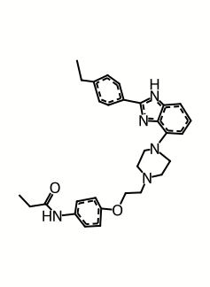 CCC(=O)Nc1ccc(OCCN2CCN(c3cccc4[nH]c(-c5ccc(CC)cc5)nc34)CC2)cc1